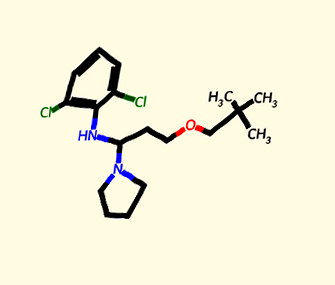 CC(C)(C)COCCC(Nc1c(Cl)cccc1Cl)N1CCCC1